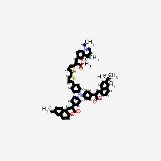 CCc1ccc2c(ccc3oc(=O)c(-c4ccc(N(c5ccc(-c6ccc(-c7ccc(-c8cc9ccc%10c(c9oc8=O)C(C)(C)CCN%10CC)s7)s6)cc5)c5ccc(-c6cc7c(ccc8cc(C(C)(C)C)ccc87)oc6=O)cc5)cc4)cc32)c1